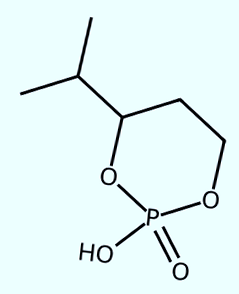 CC(C)C1CCOP(=O)(O)O1